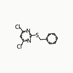 Clc1cc(Cl)nc(SCc2ccccc2)n1